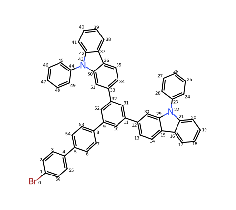 Brc1ccc(-c2ccc(-c3cc(-c4ccc5c6ccccc6n(-c6ccccc6)c5c4)cc(-c4ccc5c6ccccc6n(-c6ccccc6)c5c4)c3)cc2)cc1